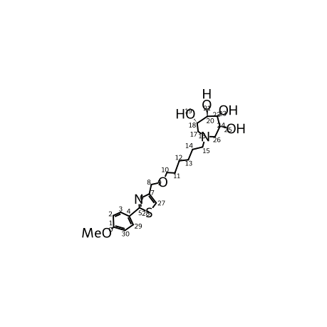 COc1ccc(-c2nc(COCCCCCCN3C[C@H](O)[C@@H](O)[C@H](O)[C@@H](O)C3)cs2)cc1